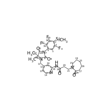 CSc1c(F)cc(N2C(=O)N(Cc3ccnc(NC(=O)CCN4CCCCCC4=O)c3)C(C)(C)C2=O)c(F)c1F